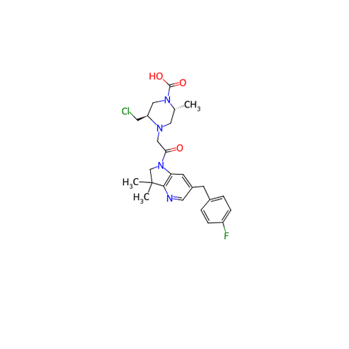 C[C@@H]1CN(CC(=O)N2CC(C)(C)c3ncc(Cc4ccc(F)cc4)cc32)[C@@H](CCl)CN1C(=O)O